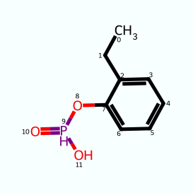 CCc1ccccc1O[PH](=O)O